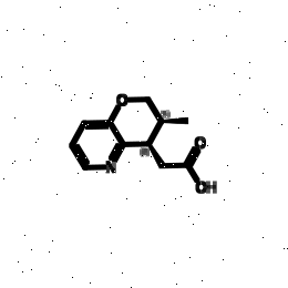 C[C@@H]1COc2cccnc2[C@@H]1CC(=O)O